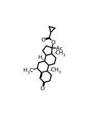 CC(=O)C1(OC(=O)C2CC2)CCC2[C@@H]3C[C@H](C)C4=CC(=O)CC[C@]4(C)C3CC[C@@]21C